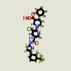 O=C(Nc1nc(-c2cccc(C(F)(F)F)c2F)cs1)c1cnc(N2CC[C@H](c3ccccc3)[C@H](C(=O)O)C2)c(Cl)c1